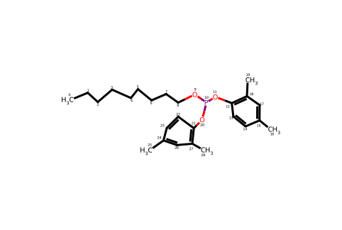 CCCCCCCCCOP(Oc1ccc(C)cc1C)Oc1ccc(C)cc1C